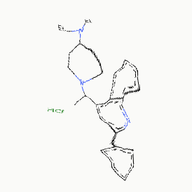 CCN(CC)C1CCN(C(C)c2cc(-c3ccccc3)nc3ccccc23)CC1.Cl